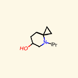 CC(C)N1CC(O)CCC12CC2